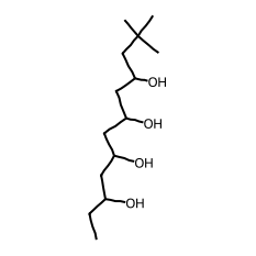 CCC(O)CC(O)CC(O)CC(O)CC(C)(C)C